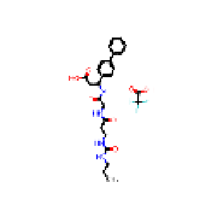 CCCNC(=O)NCCC(=O)NCC(=O)NC(CC(=O)O)c1ccc(-c2ccccc2)cc1.O=C(O)C(F)(F)F